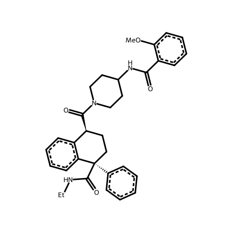 CCNC(=O)[C@]1(c2ccccc2)CC[C@H](C(=O)N2CCC(NC(=O)c3ccccc3OC)CC2)c2ccccc21